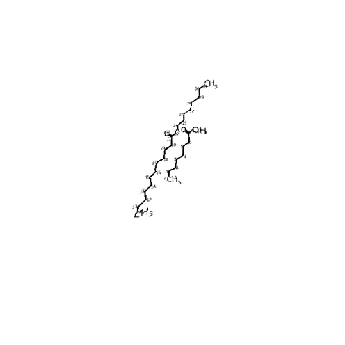 CCCCCCCC(=O)O.CCCCCCCCCCCC(=O)OCCCCCCCC